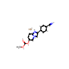 Br.COC(=O)Oc1ccc2nc(-c3ccc(C#N)cc3)cn2c1